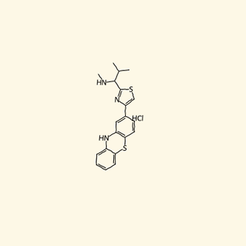 CNC(c1nc(-c2ccc3c(c2)Nc2ccccc2S3)cs1)C(C)C.Cl